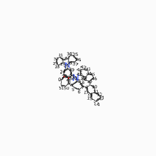 c1ccc(-c2ccc(-c3ccc4ccccc4c3)cc2N(c2cccc(-n3c4ccccc4c4ccccc43)c2)c2cccc3ccccc23)cc1